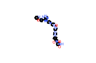 Nc1ncnc2c1c(-c1ccc(Oc3ccccc3)cc1)nn2C1CCN(C2CCN(C(=O)N3CCC(N4CCN(c5ccc6c(c5)CN(C5CCC(=O)NC5=O)C6=O)CC4)CC3)CC2)CC1